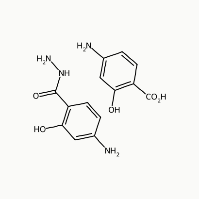 NNC(=O)c1ccc(N)cc1O.Nc1ccc(C(=O)O)c(O)c1